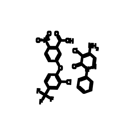 Nc1cnn(-c2ccccc2)c(=O)c1Cl.O=C(O)c1cc(Oc2ccc(C(F)(F)F)cc2Cl)ccc1[N+](=O)[O-]